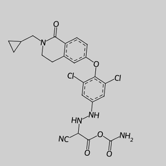 N#CC(NNc1cc(Cl)c(Oc2ccc3c(c2)CCN(CC2CC2)C3=O)c(Cl)c1)C(=O)OC(N)=O